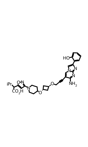 CC(C)C(C(=O)O)c1cc(N2CCC(O[C@H]3C[C@H](OCC#Cc4cn5cc(-c6ccccc6O)nc5nc4N)C3)CC2)no1